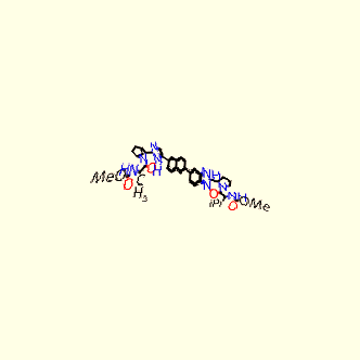 COC(=O)NC(C)C(=O)N1C2CCC(C2)C1c1ncc(-c2ccc3cc(-c4ccc5nc(C6CCCN6C(=O)C(NC(=O)OC)C(C)C)[nH]c5c4)ccc3c2)[nH]1